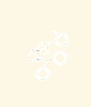 Cc1ccccc1C=N[C@@H]1C2CCN(CC2)[C@@H]1C(c1ccccc1)c1ccccc1